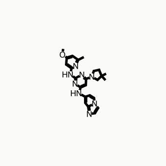 COc1cc(C)nc(Nc2nc(Nc3ccn4ccnc4c3)cc(N3CCC(C)(C)C3)n2)c1